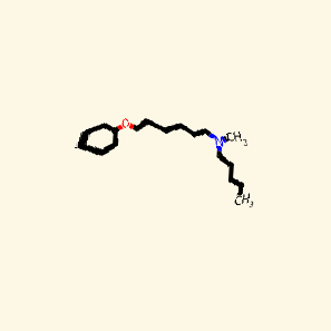 CCCCCN(C)CCCCCCOC1CC[CH]CC1